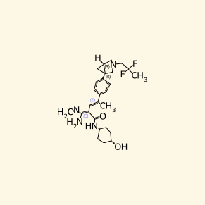 C=N/C(N)=C(\C=C(/C)c1ccc([C@@]23C[C@@H]2CN(CC(C)(F)F)C3)cc1)C(=O)N[C@H]1CC[C@H](O)CC1